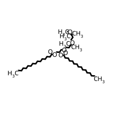 CCCCCCCCCCCCCCCC(=O)OCC(COCCC(C)(C)OCCC(C)(C)OC)OC(=O)CCCCCCCCCCCCCCC